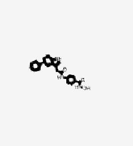 O=C(Cc1c[nH]c2ccc(-c3ccccc3)cc12)Nc1ccc(C(=O)NO)cc1